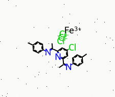 CC(=Nc1ccc(C)cc1)c1cc(Cl)cc(C(C)=Nc2ccc(C)cc2)n1.[Cl-].[Cl-].[Cl-].[Fe+3]